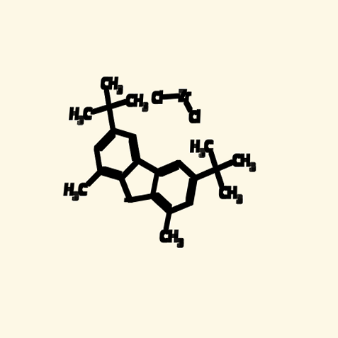 Cc1cc(C(C)(C)C)cc2c1[CH]c1c(C)cc(C(C)(C)C)cc1-2.[Cl][Zr][Cl]